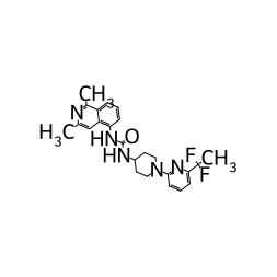 Cc1cc2c(NC(=O)NC3CCN(c4cccc(C(C)(F)F)n4)CC3)cccc2c(C)n1